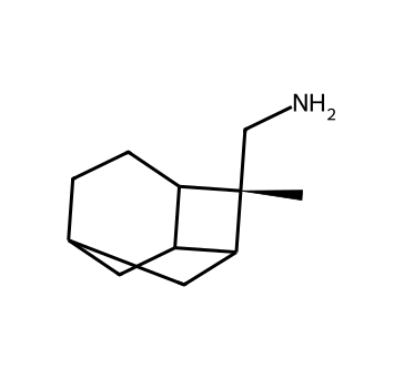 C[C@]1(CN)C2CCC3CC2C1C3